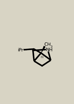 CC(C)C[C@@]1(C)C2CNC1C2